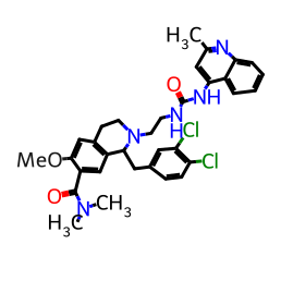 COc1cc2c(cc1C(=O)N(C)C)C(Cc1ccc(Cl)c(Cl)c1)N(CCNC(=O)Nc1cc(C)nc3ccccc13)CC2